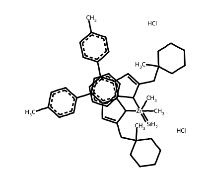 Cc1ccc(-c2cccc3c2C=C(CC2(C)CCCCC2)[CH]3[Zr]([CH3])([CH3])(=[SiH2])[CH]2C(CC3(C)CCCCC3)=Cc3c(-c4ccc(C)cc4)cccc32)cc1.Cl.Cl